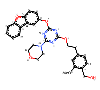 COc1cc(CCOc2nc(Oc3ccc4oc5ccccc5c4c3)nc(N3CCOCC3)n2)ccc1CO